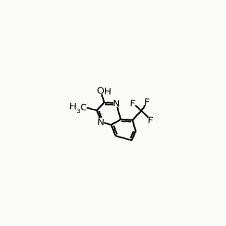 Cc1nc2cccc(C(F)(F)F)c2nc1O